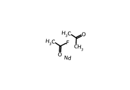 CC(=O)F.CC(C)=O.[Nd]